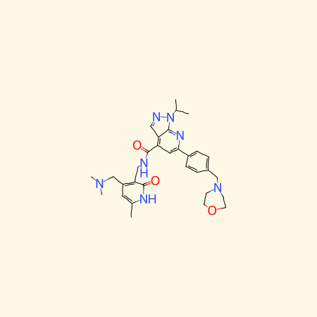 Cc1cc(CN(C)C)c(CNC(=O)c2cc(-c3ccc(CN4CCOCC4)cc3)nc3c2cnn3C(C)C)c(=O)[nH]1